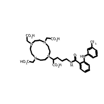 O=C(O)CN1CCN(CC(=O)O)CCN(C(CCCNC(=O)c2ccccc2Nc2cccc(C(F)(F)F)c2)C(=O)O)CCN(CC(=O)O)CC1